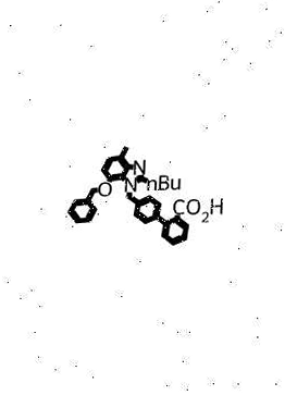 CCCCc1nc2c(C)ccc(OCc3ccccc3)c2n1Cc1ccc(-c2ccccc2C(=O)O)cc1